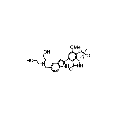 COc1cc(-c2cc3cc(CN(CCO)CCO)ccc3[nH]2)c2c(c1OS(C)(=O)=O)CNC2=O